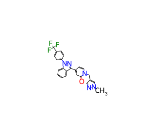 Cn1cc(Cn2ccc(-c3nn(-c4ccc(C(F)(F)F)cc4)c4ccccc34)cc2=O)cn1